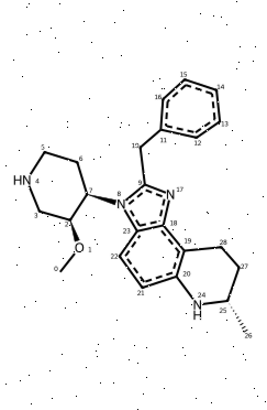 CO[C@H]1CNCC[C@H]1n1c(Cc2ccccc2)nc2c3c(ccc21)N[C@@H](C)CC3